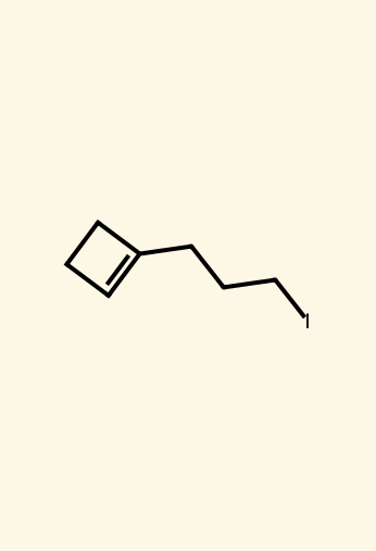 ICCCC1=CCC1